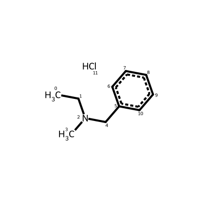 CCN(C)Cc1ccccc1.Cl